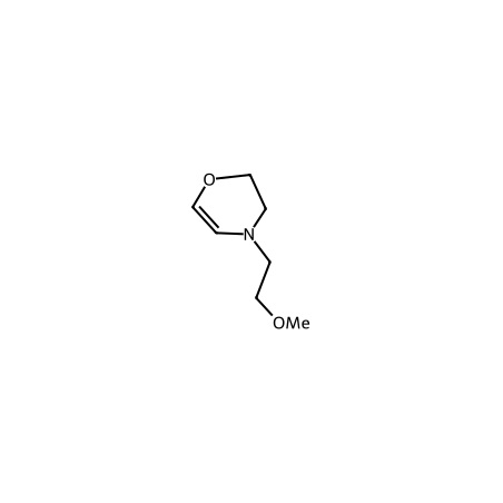 COCCN1C=COCC1